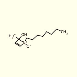 CCCCCCCC[N+]1([O-])C=CC1(C)O